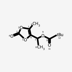 Cc1oc(=O)oc1C(C)OC(=O)C(C)(C)C